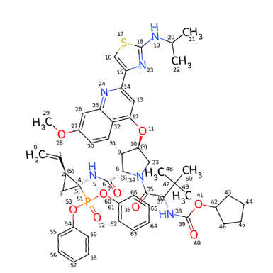 C=C[C@@H]1C[C@]1(NC(=O)[C@@H]1C[C@@H](Oc2cc(-c3csc(NC(C)C)n3)nc3cc(OC)ccc23)CN1C(=O)[C@@H](NC(=O)OC1CCCC1)C(C)(C)C)P(=O)(Oc1ccccc1)Oc1ccccc1